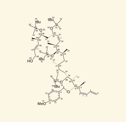 C=C/C=C\[C@H](C)[C@H](OCc1ccc(OC)cc1)[C@@H](C)[C@@H](CC[C@H](C)C[C@H](C)[C@@H](O[Si](C)(C)C(C)(C)C)[C@@H](C)/C=C\[C@H](C[C@H](O[Si](C)(C)C(C)(C)C)[C@H](C)/C=C/CO)O[Si](C)(C)C(C)(C)C)O[Si](C)(C)C(C)(C)C